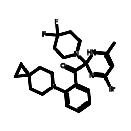 CC1=CC(Br)=NC(C(=O)c2ccccc2N2CCC3(CC2)CC3)(N2CCC(F)(F)CC2)N1